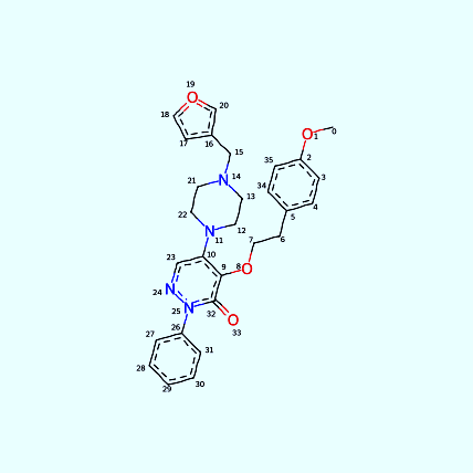 COc1ccc(CCOc2c(N3CCN(Cc4ccoc4)CC3)cnn(-c3ccccc3)c2=O)cc1